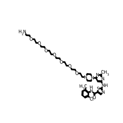 Cc1nc(Nc2ncc(C(=O)Nc3c(C)cccc3Cl)s2)cc(N2CCN(CCOCCOCCOCCOCCOCCOCCOCCN)CC2)n1